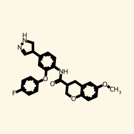 COc1ccc2c(c1)CC(C(=O)Nc1ccc(C3C=NNC3)cc1Oc1ccc(F)cc1)CO2